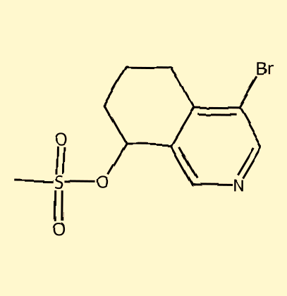 CS(=O)(=O)OC1CCCc2c(Br)cncc21